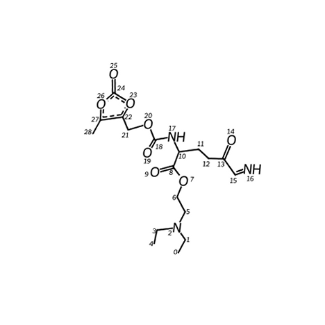 CCN(CC)CCOC(=O)C(CCC(=O)C=N)NC(=O)OCc1oc(=O)oc1C